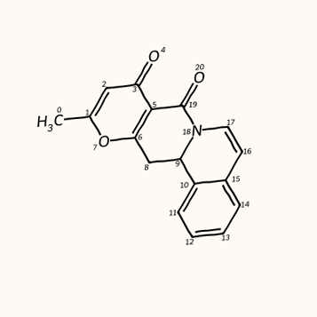 Cc1cc(=O)c2c(o1)CC1c3ccccc3C=CN1C2=O